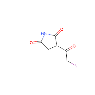 O=C1CC(C(=O)CI)C(=O)N1